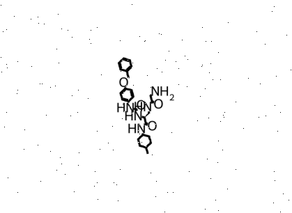 CC1CCC(NC(=O)[C@H](CNC(=O)CN)NC(=O)Nc2ccc(OCc3ccccc3)cc2)CC1